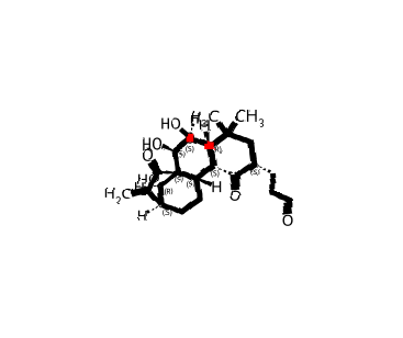 C=C1C(=O)[C@]23[C@H](O)[C@H]1CC[C@H]2[C@@]12CO[C@]3(O)[C@@H](O)[C@@H]1C(C)(C)C[C@H](CCC=O)C2=O